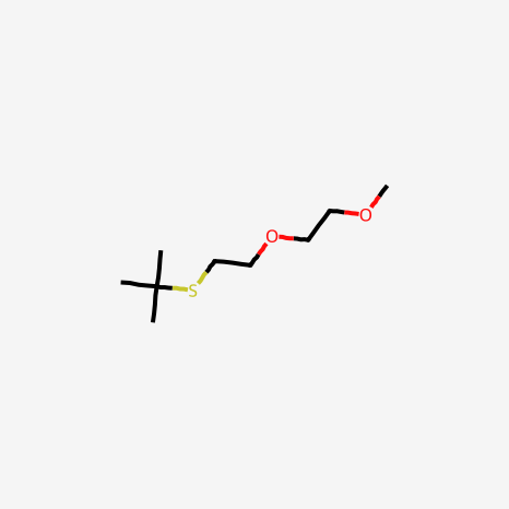 COCCOCCSC(C)(C)C